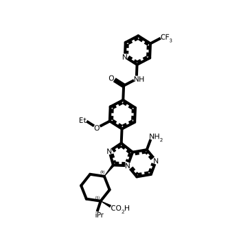 CCOc1cc(C(=O)Nc2cc(C(F)(F)F)ccn2)ccc1-c1nc([C@@H]2CCC[C@@](C(=O)O)(C(C)C)C2)n2ccnc(N)c12